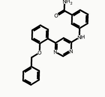 NC(=O)c1cccc(Nc2cc(-c3ccccc3OCc3ccccc3)ncn2)c1